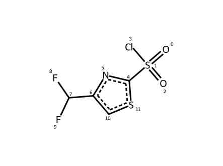 O=S(=O)(Cl)c1nc(C(F)F)cs1